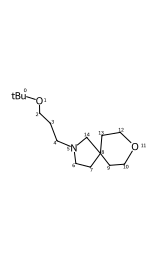 CC(C)(C)OCCCN1CCC2(CCOCC2)C1